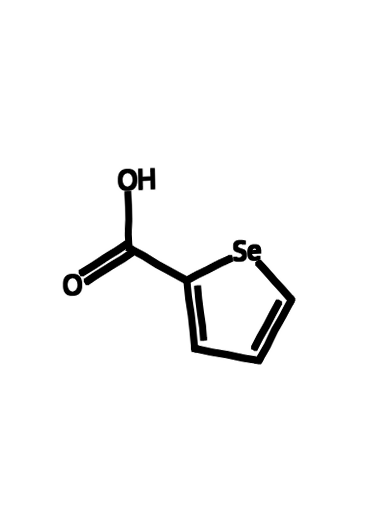 O=C(O)c1ccc[se]1